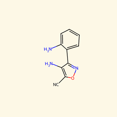 N#Cc1onc(-c2ccccc2N)c1N